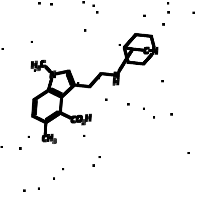 Cc1ccc2c(c(CCNC3CN4CCC3CC4)cn2C)c1C(=O)O